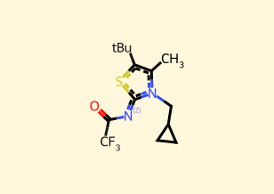 Cc1c(C(C)(C)C)s/c(=N\C(=O)C(F)(F)F)n1CC1CC1